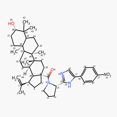 C=C(C)[C@@H]1CC[C@]2(C(=O)N3CCC[C@H]3c3ncc(-c4ccc([N+](=O)[O-])cc4)[nH]3)CC[C@]3(C)[C@H](CCC4[C@@]5(C)CC[C@H](O)C(C)(C)C5CC[C@]43C)C12